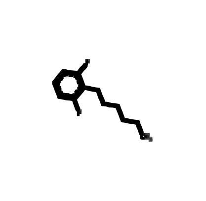 CCCCCCc1c(F)cccc1F